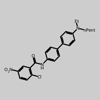 CCCCCN(CC)c1ccc(-c2ccc(NC(=O)c3cc([N+](=O)[O-])ccc3Cl)cc2)cc1